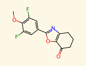 COc1c(F)cc(-c2nc3c(o2)C(=O)CCC3)cc1F